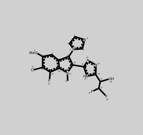 COc1cc2c(-n3ccnc3)c(-c3nnc(C(O)C(F)F)[nH]3)n(C)c2c(F)c1Cl